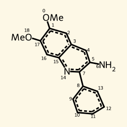 COc1cc2cc(N)c(-c3ccccc3)nc2cc1OC